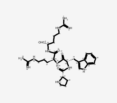 N=C(N)NCCC[C@@H]([C]=O)NC(=O)[C@H](CCCNC(=N)N)NC(=O)[C@H](Cc1c[nH]c2ccccc12)NC(=O)[C@@H]1CCCN1